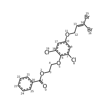 O=C(OCCOc1c(Cl)cc(OCC=C(Br)Br)cc1Cl)c1ccccc1